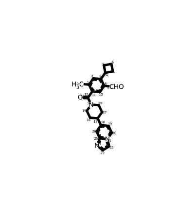 Cc1cc(C2CCC2)c(C=O)cc1C(=O)N1CCC(c2ccn3ccnc3c2)CC1